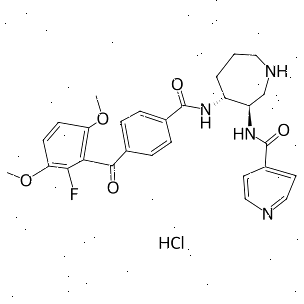 COc1ccc(OC)c(C(=O)c2ccc(C(=O)N[C@@H]3CCCNC[C@H]3NC(=O)c3ccncc3)cc2)c1F.Cl